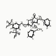 Cc1ccccc1[C@@H]1[C@@H](OCc2cc(C(F)(F)F)cc(C(F)(F)F)c2)CN2C(=O)C(Nc3ncccn3)C[C@@H]12